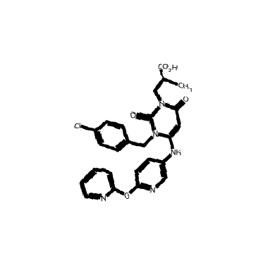 C[C@@H](Cn1c(=O)cc(Nc2ccc(Oc3ccccn3)nc2)n(Cc2ccc(Cl)cc2)c1=O)C(=O)O